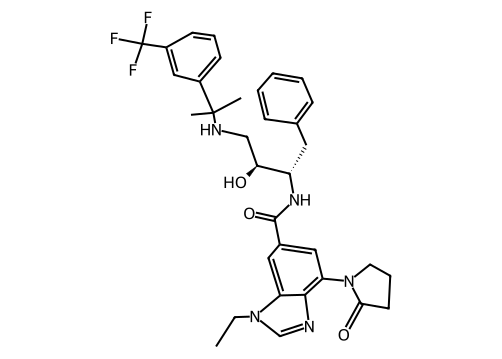 CCn1cnc2c(N3CCCC3=O)cc(C(=O)N[C@@H](Cc3ccccc3)[C@@H](O)CNC(C)(C)c3cccc(C(F)(F)F)c3)cc21